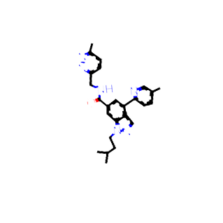 Cc1ccc(-c2cc(C(=O)NCc3ccc(C)nn3)cc3c2cnn3CCC(C)C)nc1